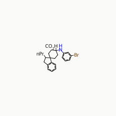 CCCC1Cc2ccccc2C12CCC(Nc1cccc(Br)c1)(C(=O)O)CC2